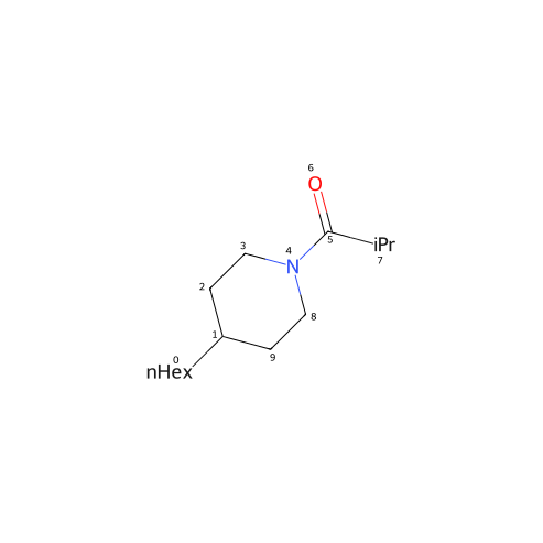 CCCCCCC1CCN(C(=O)C(C)C)CC1